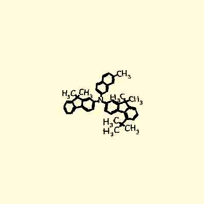 Cc1ccc2ccc(N(c3ccc4c(c3)C(C)(C)c3ccccc3-4)c3ccc4c(c3)C(C)(C)c3cccc(C(C)(C)C)c3-4)cc2c1